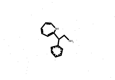 NCC(C1=CC=CC=CN1)c1ccccc1